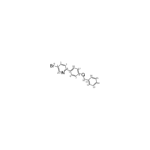 Brc1ccc(-c2ccc(OCc3ccccc3)cc2)nc1